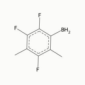 Bc1c(C)c(F)c(C)c(F)c1F